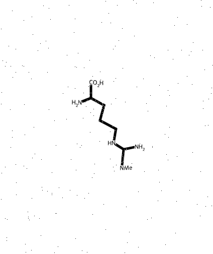 CNC(N)NCCCC(N)C(=O)O